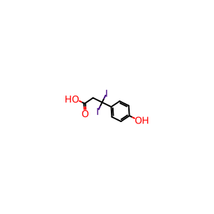 O=C(O)CC(I)(I)c1ccc(O)cc1